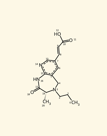 CCCN1Cc2cc(/C=C/C(=O)O)cnc2NC(=O)[C@H]1C